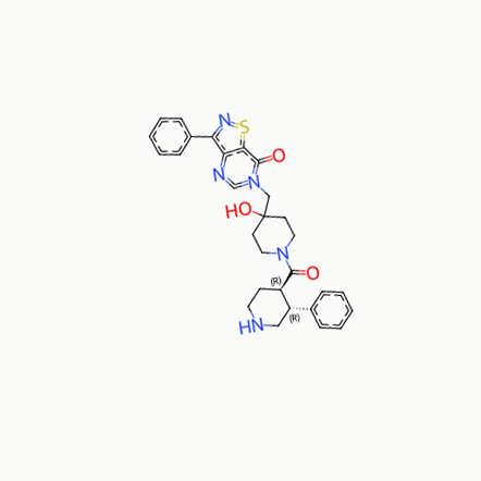 O=C([C@@H]1CCNC[C@H]1c1ccccc1)N1CCC(O)(Cn2cnc3c(-c4ccccc4)nsc3c2=O)CC1